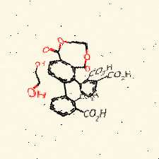 O=C(O)c1cccc(-c2ccc3c(c2-c2cccc(C(=O)O)c2C(=O)O)C(=O)OCCOC3=O)c1C(=O)O.OCCO